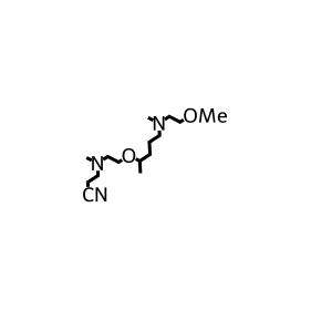 COCCN(C)CCCC(C)OCCN(C)CCC#N